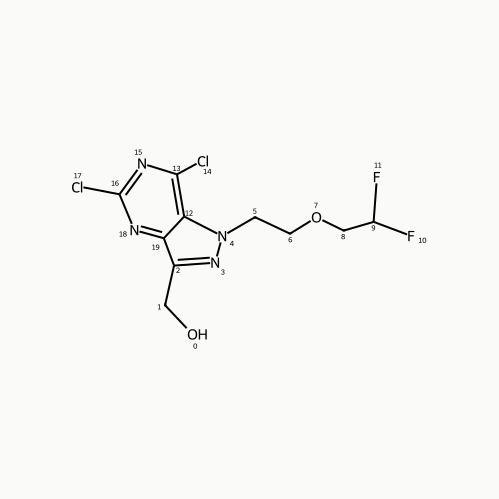 OCc1nn(CCOCC(F)F)c2c(Cl)nc(Cl)nc12